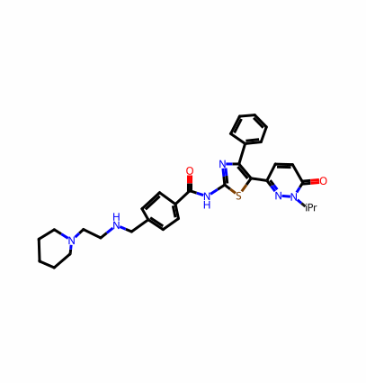 CC(C)n1nc(-c2sc(NC(=O)c3ccc(CNCCN4CCCCC4)cc3)nc2-c2ccccc2)ccc1=O